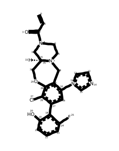 C=CC(=O)N1CCN2Cc3c(-n4ccnc4)cc(-c4c(O)cccc4F)c(Cl)c3OC[C@H]2C1